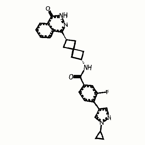 O=C(N[C@H]1CC2(C1)C[C@H](c1n[nH]c(=O)c3ccccc31)C2)c1ccc(-c2cnn(C3CC3)c2)c(F)c1